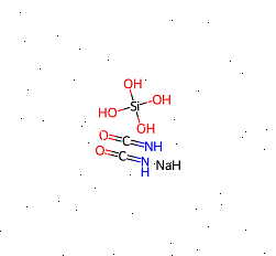 N=C=O.N=C=O.O[Si](O)(O)O.[NaH]